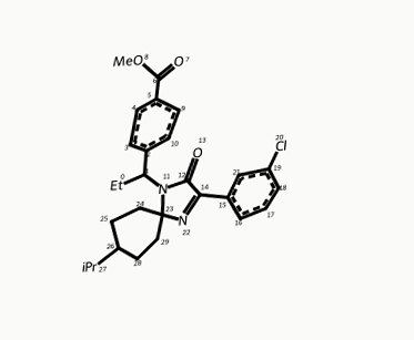 CCC(c1ccc(C(=O)OC)cc1)N1C(=O)C(c2cccc(Cl)c2)=NC12CCC(C(C)C)CC2